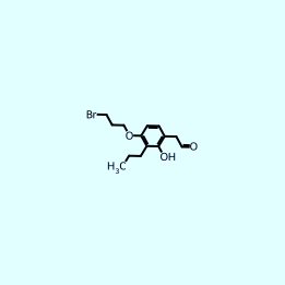 CCCc1c(OCCCBr)ccc(CC=O)c1O